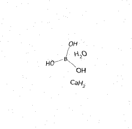 O.OB(O)O.[CaH2]